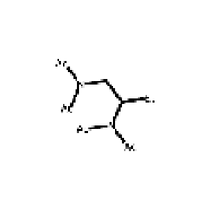 CCC(CN(C(C)=O)C(C)=O)N(C(C)=O)C(C)=O